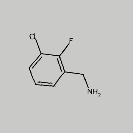 NCc1[c]ccc(Cl)c1F